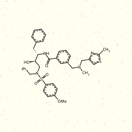 COc1ccc(S(=O)(=O)N(CC(C)C)C[C@@H](O)[C@H](Cc2ccccc2)NC(=O)c2cccc(CN(C)Cc3csc(C)n3)c2)cc1